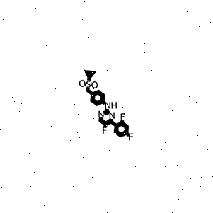 O=S(=O)(Cc1ccc(Nc2ncc(F)c(-c3ccc(F)cc3F)n2)cc1)C1CC1